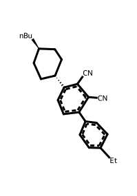 CCCC[C@H]1CC[C@H](c2ccc(-c3ccc(CC)cc3)c(C#N)c2C#N)CC1